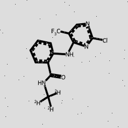 [2H]C([2H])([2H])NC(=O)c1ccccc1Nc1nc(Cl)ncc1C(F)(F)F